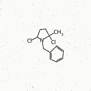 CC1(Cl)CCC(Cl)N1Cc1ccccc1